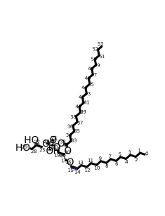 CCCCCCCCCCCCCC/C=C\OC[C@H](COP(=O)(O)OC[C@@H](O)CO)OC(=O)CCCCCCCCCCCCCCCCCCCCC